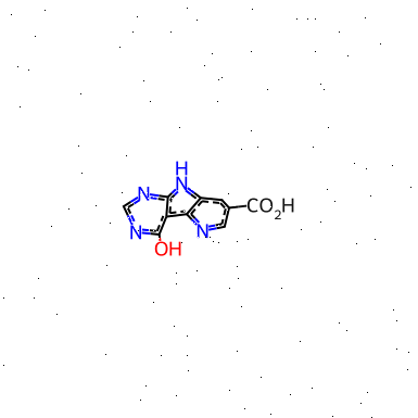 O=C(O)c1cnc2c(c1)[nH]c1ncnc(O)c12